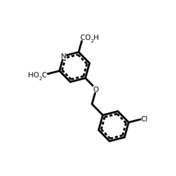 O=C(O)c1cc(OCc2cccc(Cl)c2)cc(C(=O)O)n1